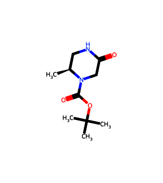 C[C@H]1CNC(=O)CN1C(=O)OC(C)(C)C